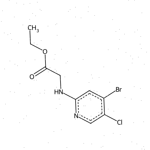 CCOC(=O)CNc1cc(Br)c(Cl)cn1